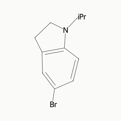 CC(C)N1CCc2cc(Br)ccc21